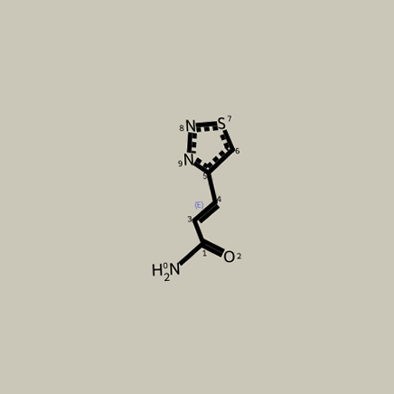 NC(=O)/C=C/c1csnn1